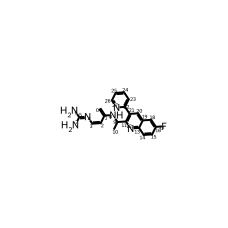 C=C(/C=C\N=C(N)N)NC(C)c1nc2ccc(F)cc2cc1-c1ccccn1